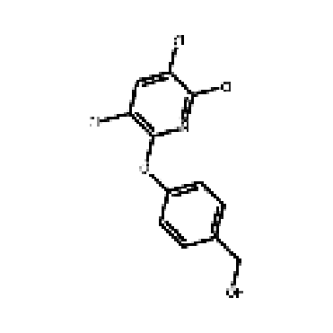 OCc1ccc(Oc2nc(Cl)c(Cl)cc2Cl)cc1